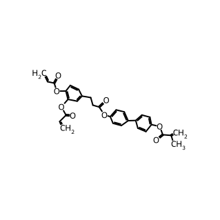 C=CC(=O)Oc1ccc(CCC(=O)Oc2ccc(-c3ccc(OC(=O)C(=C)C)cc3)cc2)cc1OC(=O)C=C